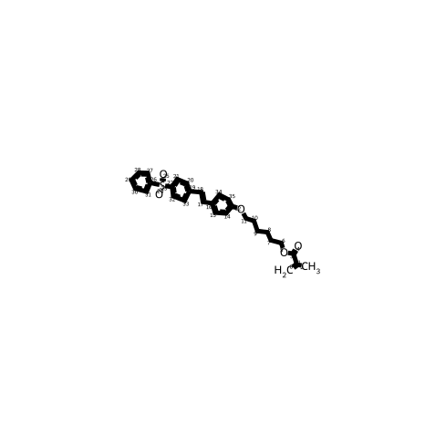 C=C(C)C(=O)OCCCCCCOc1ccc(C=Cc2ccc(S(=O)(=O)c3ccccc3)cc2)cc1